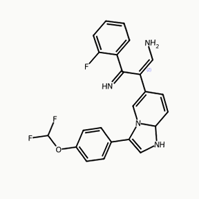 N=C(/C(=C\N)C1=CN2C(c3ccc(OC(F)F)cc3)=CNC2C=C1)c1ccccc1F